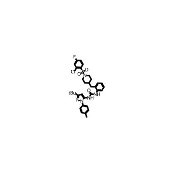 Cc1ccc(-n2nc(C(C)(C)C)cc2NC(=O)Nc2ccccc2CC2CCN(S(=O)(=O)c3ccc(F)cc3Cl)CC2)cc1